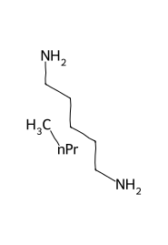 CCCC.NCCCCCN